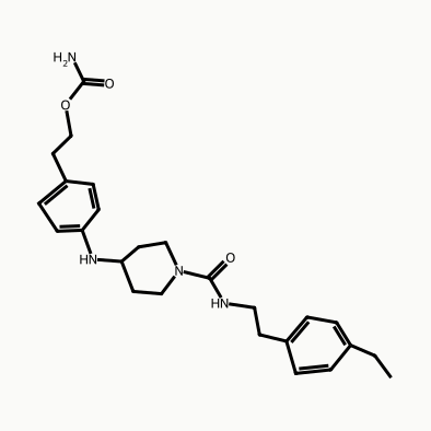 CCc1ccc(CCNC(=O)N2CCC(Nc3ccc(CCOC(N)=O)cc3)CC2)cc1